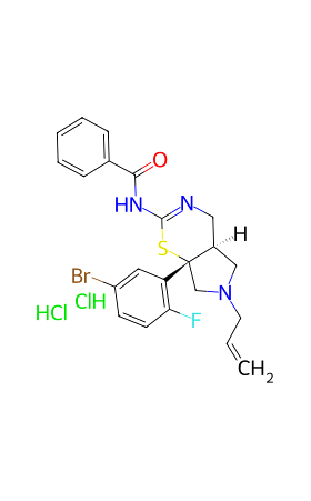 C=CCN1C[C@@H]2CN=C(NC(=O)c3ccccc3)S[C@@]2(c2cc(Br)ccc2F)C1.Cl.Cl